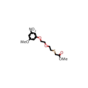 COC(=O)CSCCOCCOc1cc(OC)cc([N+](=O)[O-])c1